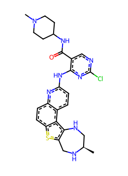 C[C@@H]1CNc2c(sc3ccc4nc(Nc5nc(Cl)ncc5C(=O)NC5CCN(C)CC5)ccc4c23)CN1